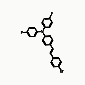 Fc1ccc(N(c2ccc(F)cc2)c2ccc(C=Cc3ccc(Br)cc3)cc2)cc1